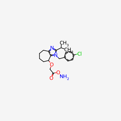 CC(C)c1nc2c(n1Cc1ccc(Cl)cc1)C(OCC(=O)ON)CCCC2